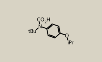 CC(C)Oc1ccc(N(C(=O)O)C(C)(C)C)cc1